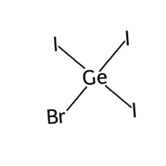 [Br][Ge]([I])([I])[I]